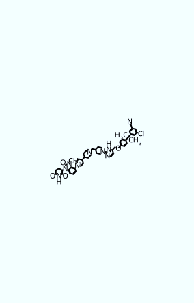 Cn1c(=O)n(C2CCC(=O)NC2=O)c2cccc(N3CCC(C4CCN(CC5CCN(C6=NC=CC(COc7ccc(C(C)(C)c8cc(Cl)cc(C#N)c8)cc7)N6)CC5)CC4)CC3)c21